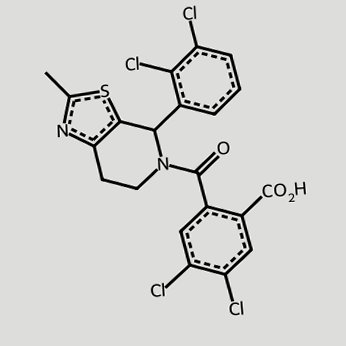 Cc1nc2c(s1)C(c1cccc(Cl)c1Cl)N(C(=O)c1cc(Cl)c(Cl)cc1C(=O)O)CC2